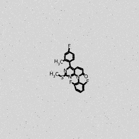 CSc1nc(-c2ccc(F)cc2C)c2ccc(=O)n(-c3c(F)cccc3F)c2n1